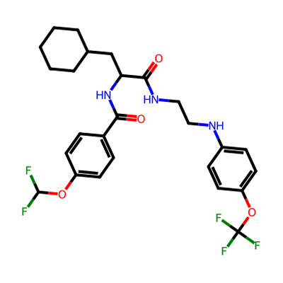 O=C(NC(CC1CCCCC1)C(=O)NCCNc1ccc(OC(F)(F)F)cc1)c1ccc(OC(F)F)cc1